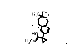 CC=C(O)C1(c2ccc3c(c2)CCC(C)(C)CC3)CC1